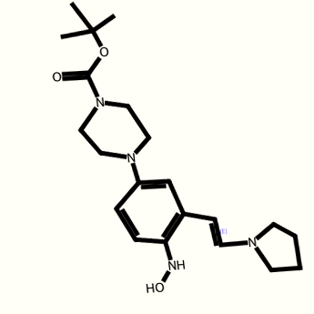 CC(C)(C)OC(=O)N1CCN(c2ccc(NO)c(/C=C/N3CCCC3)c2)CC1